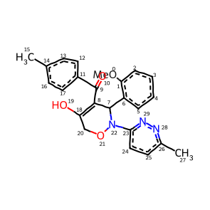 COc1ccccc1C1C(C(=O)c2ccc(C)cc2)=C(O)CON1c1ccc(C)nn1